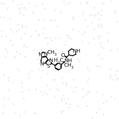 Cn1cnc2cnc3sc(-c4cccc(C(C)(C)NC(=O)C5CCNCC5)c4)nc3c21